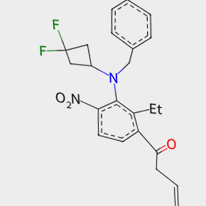 C=CCC(=O)c1ccc([N+](=O)[O-])c(N(Cc2ccccc2)C2CC(F)(F)C2)c1CC